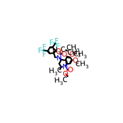 CCOC(=O)N1c2cc(OC)c(OC)cc2C(N(Cc2cc(C(F)(F)F)cc(C(F)(F)F)c2)C(=O)OC(C)(C)C)CC1C